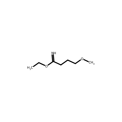 CCOC(=N)CCCOC